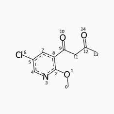 COc1ncc(Cl)cc1C(=O)CC(C)=O